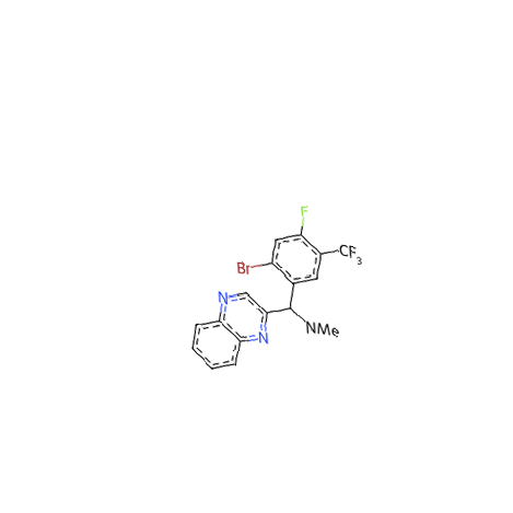 CNC(c1cnc2ccccc2n1)c1cc(C(F)(F)F)c(F)cc1Br